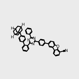 N#Cc1cccc2c1oc1ccc(-c3ccc(-c4nc(-c5ccccc5)nc(-c5ccccc5-c5ccc(C67C[C@H]8C[C@H](C6)C[C@@H](C7)C8)cc5)n4)cc3)cc12